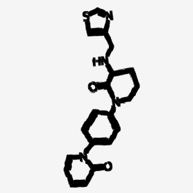 O=C1C(NCc2cscn2)CCCN1c1ccc(-n2ccccc2=O)cc1